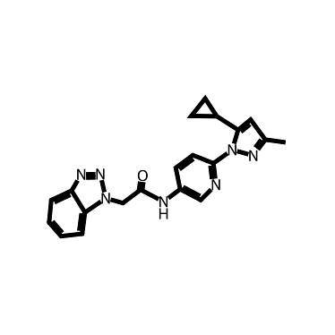 Cc1cc(C2CC2)n(-c2ccc(NC(=O)Cn3nnc4ccccc43)cn2)n1